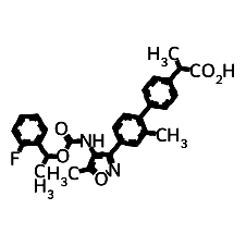 Cc1cc(-c2noc(C)c2NC(=O)OC(C)c2ccccc2F)ccc1-c1ccc(C(C)C(=O)O)cc1